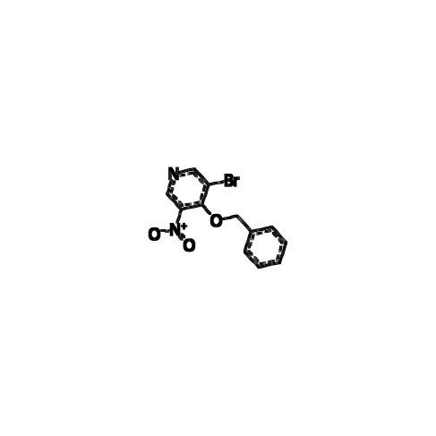 O=[N+]([O-])c1cncc(Br)c1OCc1ccccc1